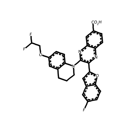 O=C(O)c1ccc2nc(-c3cc4cc(F)ccc4o3)c(N3CCCc4cc(OCC(F)F)ccc43)nc2c1